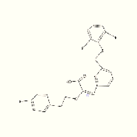 O=C(O)/C(=C\c1cccc(CSc2c(F)cccc2F)n1)OCCc1ccc(F)cc1